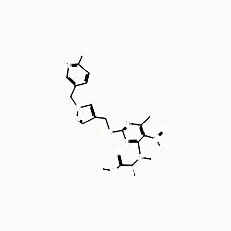 COC(=O)[C@H](C)N(C)c1nc(NCc2cnn(Cc3ccc(Cl)nc3)c2)nc(C)c1[N+](=O)[O-]